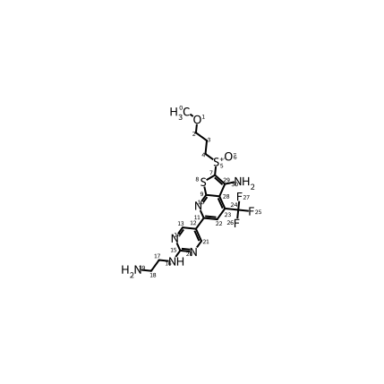 COCCC[S+]([O-])c1sc2nc(-c3cnc(NCCN)nc3)cc(C(F)(F)F)c2c1N